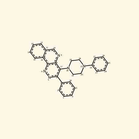 c1ccc(-c2nnc3c(ncc4ccccc43)c2N2CCN(c3ccccc3)CC2)cc1